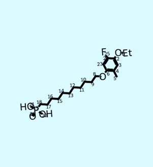 CCOc1cc(C)c(OCCCCCCCCCCCP(=O)(O)O)cc1F